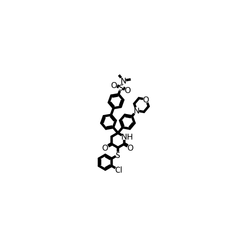 CN(C)S(=O)(=O)c1ccc(-c2cccc(C3(c4ccc(N5CCOCC5)cc4)CC(=O)C(Sc4ccccc4Cl)C(=O)N3)c2)cc1